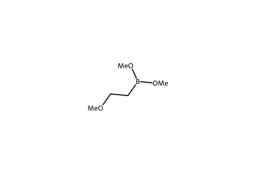 COCCB(OC)OC